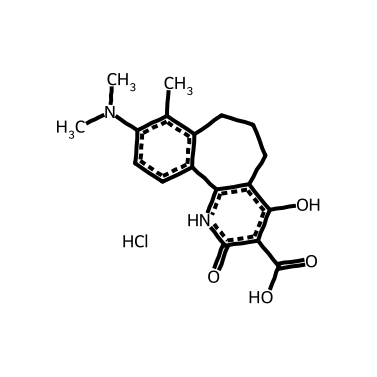 Cc1c(N(C)C)ccc2c1CCCc1c-2[nH]c(=O)c(C(=O)O)c1O.Cl